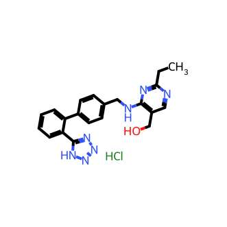 CCc1ncc(CO)c(NCc2ccc(-c3ccccc3-c3nnn[nH]3)cc2)n1.Cl